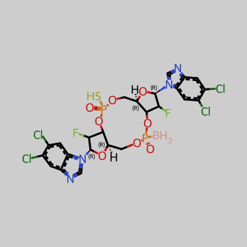 BP1(=O)OC[C@H]2O[C@@H](n3cnc4cc(Cl)c(Cl)cc43)C(F)C2OP(=O)(S)OC[C@H]2O[C@@H](n3cnc4cc(Cl)c(Cl)cc43)C(F)C2O1